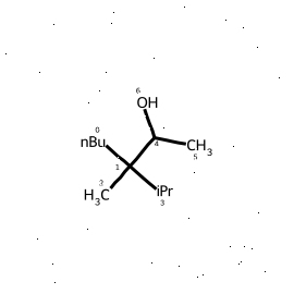 CCCCC(C)(C(C)C)C(C)O